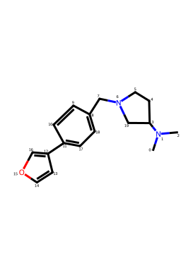 CN(C)C1CCN(Cc2ccc(-c3ccoc3)cc2)C1